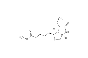 CCN1C(=O)N[C@H]2CS[C@@H](CCCCC(=O)OC)[C@H]21